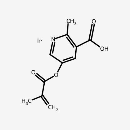 C=C(C)C(=O)Oc1cnc(C)c(C(=O)O)c1.[Ir]